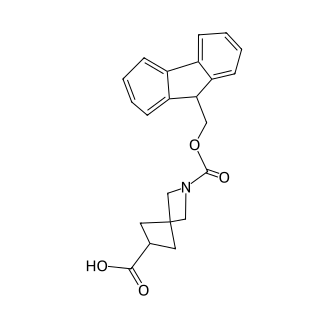 O=C(O)C1CC2(C1)CN(C(=O)OCC1c3ccccc3-c3ccccc31)C2